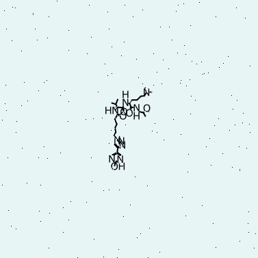 CC(=O)CNC(=O)[C@H](CCCCN(C)C)NC(=O)[C@@H](NC(=O)CCCCCn1cc(-c2cnc(O)nc2)nn1)C(C)C